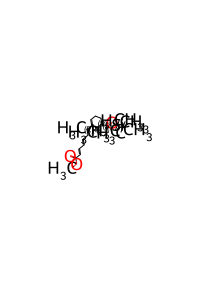 COC(=O)C=CC=CC[C@@H](C)C1=CCC[C@H]2[C@@H](O[Si](C)(C)C(C)(C)C)CCC[C@]12C